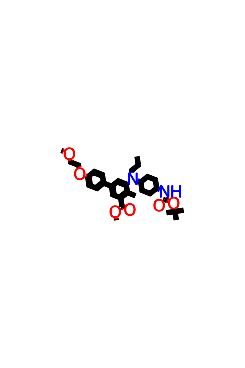 CCCN(c1cc(-c2ccc(OCCOC)cc2)cc(C(=O)OC)c1C)C1CCC(NC(=O)OC(C)(C)C)CC1